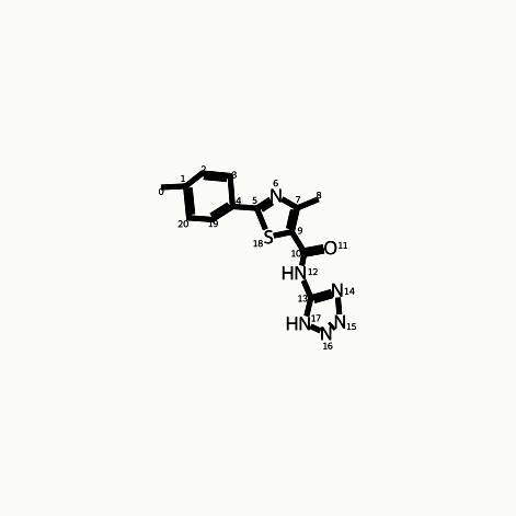 Cc1ccc(-c2nc(C)c(C(=O)Nc3nnn[nH]3)s2)cc1